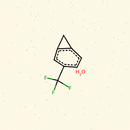 FC(F)(F)c1ccc2c(c1)C2.O